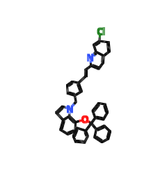 Clc1ccc2ccc(/C=C/c3cccc(Cn4ccc5cccc(OC(c6ccccc6)(c6ccccc6)c6ccccc6)c54)c3)nc2c1